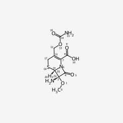 CO[C@@]1(N)C(=O)N2C(C(=O)O)=C(COC(N)=O)CS[C@H]21